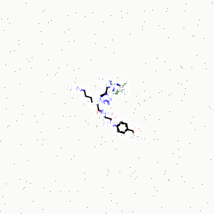 CC(C)(C)C(=O)c1ccc(NC(=O)CNC(=O)[C@H](CCCCN)n2cc(C[N+](C)(C)C[B-](F)(F)F)nn2)cc1